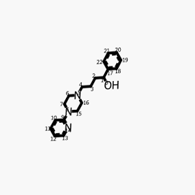 OC(CCCN1CCN(c2ccccn2)CC1)c1ccccc1